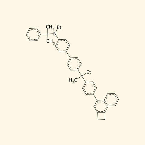 CCN(c1ccc(-c2ccc(C(C)(CC)c3ccc(-c4cc5c(c6ccccc46)CC5)cc3)cc2)cc1)C(C)(C)c1ccccc1